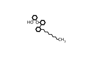 CCCCCCCCCc1ccccc1-c1ccccc1Oc1ccccc1O